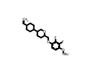 C=CC1CCC(C2CCC(COc3ccc(OCCCC)c(F)c3F)OC2)CC1